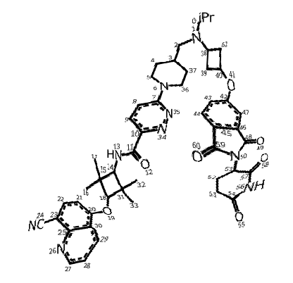 CC(C)N(CC1CCN(c2ccc(C(=O)NC3C(C)(C)C(Oc4ccc(C#N)c5ncccc45)C3(C)C)nn2)CC1)C1CC(Oc2ccc3c(c2)C(=O)N(C2CCC(=O)NC2=O)C3=O)C1